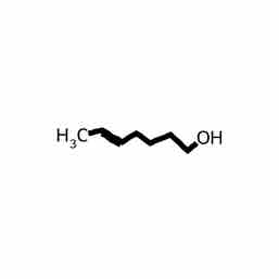 C/C=C/CCCCO